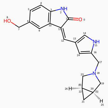 O=C1Nc2ccc(CO)cc2C1=Cc1c[nH]c(CN2C[C@H]3C[C@H]3C2)c1